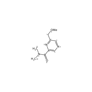 COCc1cncc(C(=O)N(C)C)n1